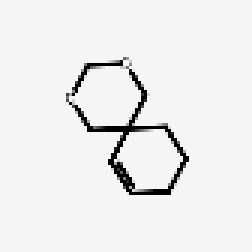 C1=CC2(CCC1)COCOC2